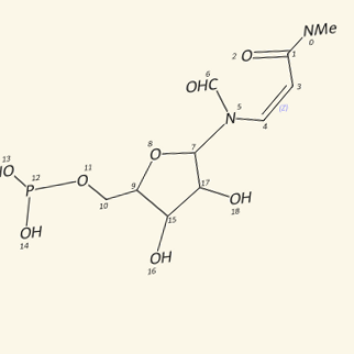 CNC(=O)/C=C\N(C=O)C1OC(COP(O)O)C(O)C1O